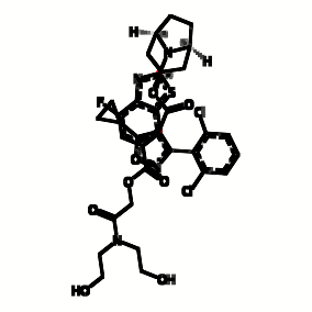 O=C(OCC(=O)N(CCO)CCO)c1cc(F)c2nc(N3[C@@H]4CC[C@H]3C[C@@H](OC(=O)c3c(-c5c(Cl)cccc5Cl)noc3C3CC3)C4)sc2c1